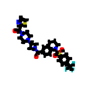 O=C(c1ccc2c(c1)CCCN2S(=O)(=O)c1ccc(C(F)(F)F)cc1)N1CC(N2CCN(C(=O)c3nccs3)CC2)C1